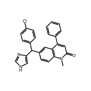 Cn1c(=O)cc(-c2ccccc2)c2cc(C(c3ccc(Cl)cc3)c3c[nH]cn3)ccc21